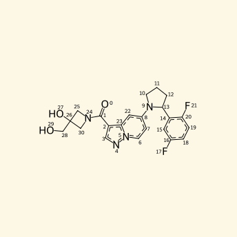 O=C(c1cnn2ccc(N3CCCC3c3cc(F)ccc3F)cc12)N1CC(O)(CO)C1